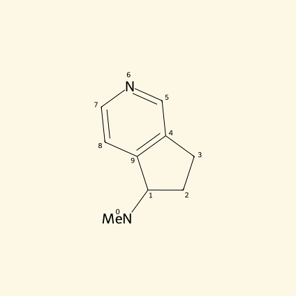 CNC1CCc2cnccc21